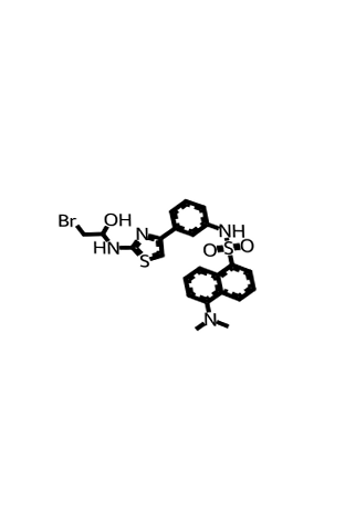 CN(C)c1cccc2c(S(=O)(=O)Nc3cccc(-c4csc(NC(O)CBr)n4)c3)cccc12